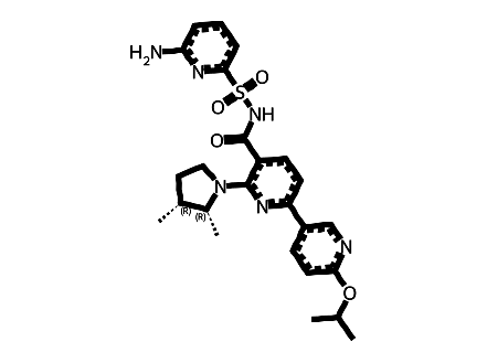 CC(C)Oc1ccc(-c2ccc(C(=O)NS(=O)(=O)c3cccc(N)n3)c(N3CC[C@@H](C)[C@H]3C)n2)cn1